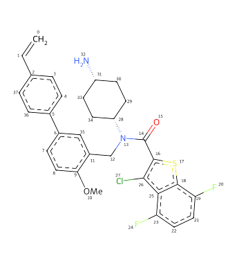 C=Cc1ccc(-c2ccc(OC)c(CN(C(=O)c3sc4c(F)ccc(F)c4c3Cl)[C@H]3CC[C@@H](N)CC3)c2)cc1